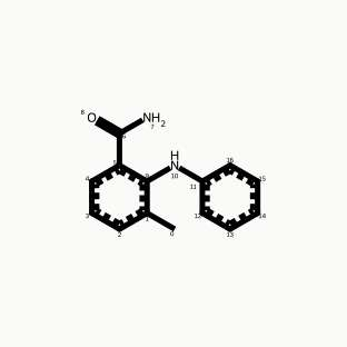 Cc1cccc(C(N)=O)c1Nc1ccccc1